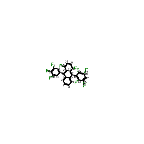 Fc1cc(-c2c3ccccc3c(-c3c(F)c(F)cc(F)c3F)c3c(F)ccc(F)c23)cc(F)c1F